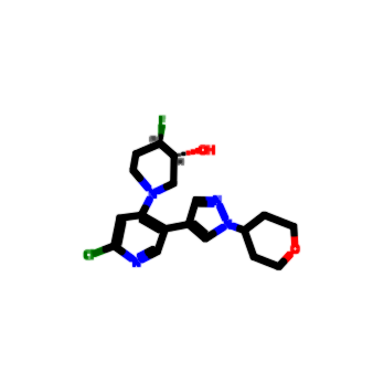 O[C@@H]1CN(c2cc(Cl)ncc2-c2cnn(C3CCOCC3)c2)CC[C@H]1F